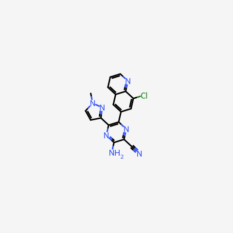 Cn1ccc(-c2nc(N)c(C#N)nc2-c2cc(Cl)c3ncccc3c2)n1